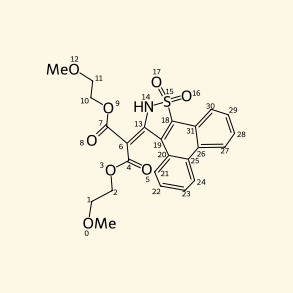 COCCOC(=O)C(C(=O)OCCOC)=C1NS(=O)(=O)c2c1c1ccccc1c1ccccc21